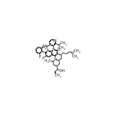 C=CC(O)N1CC(C)N2c3c(c(=O)n(-c4c(C)ccnc4C(C)C)c4nc(-c5c(O)cccc5F)c(F)cc34)N(CCCN(C)C)CC2C1